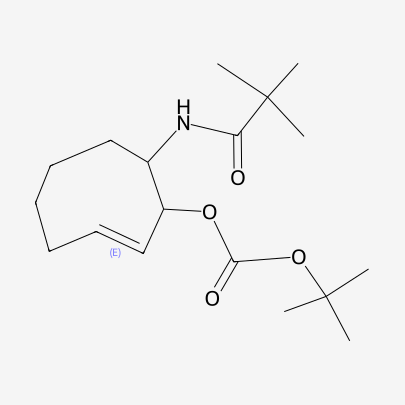 CC(C)(C)OC(=O)OC1/C=C/CCCCC1NC(=O)C(C)(C)C